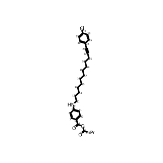 CCCC(=O)OC(=O)c1ccc(NCCCCCCCCCCCC#Cc2ccc(Cl)cc2)cc1